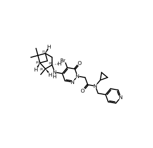 C[C@@H]1[C@H]2C[C@@H](C[C@H]1Nc1cnn(CC(=O)N(Cc3ccncc3)C3CC3)c(=O)c1Br)C2(C)C